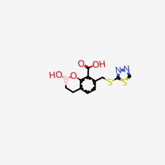 O=C(O)c1c(CSc2nncs2)ccc2c1OB(O)CC2